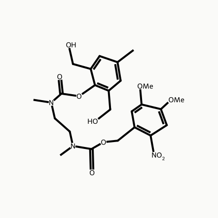 COc1cc(COC(=O)N(C)CCN(C)C(=O)Oc2c(CO)cc(C)cc2CO)c([N+](=O)[O-])cc1OC